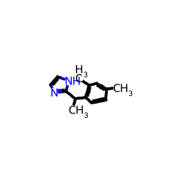 Cc1ccc(C(C)c2ncc[nH]2)c(C)c1